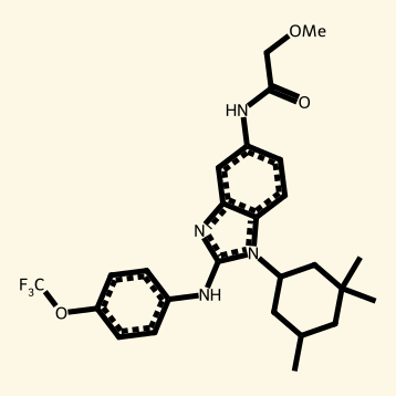 COCC(=O)Nc1ccc2c(c1)nc(Nc1ccc(OC(F)(F)F)cc1)n2C1CC(C)CC(C)(C)C1